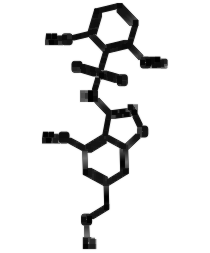 CCOCc1cc(OC)c2c(NS(=O)(=O)c3c(OC)cccc3OC)noc2c1